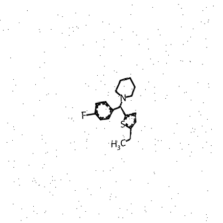 CCc1ccc(C(c2ccc(F)cc2)N2CCCCC2)s1